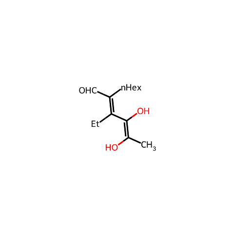 CCCCCCC(C=O)=C(CC)C(O)=C(C)O